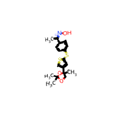 C/C(=N/O)c1ccc(Sc2cc(C3(C)COC(C)(C)O3)cs2)cc1